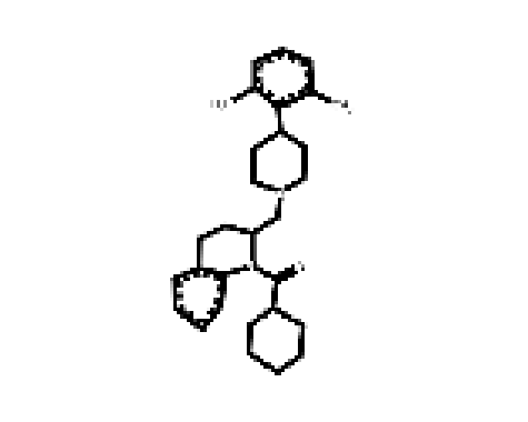 Cc1cccc(C)c1C1CCN(CC2CCc3ccccc3N2C(=O)C2CCCCC2)CC1